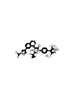 Cc1n[nH]c(C)c1-c1ccc(NC(=O)[C@@H](NC(=O)C2(F)CC2)[C@@H]2CCCc3ccc(-c4cnn(C(F)F)c4)cc32)cc1